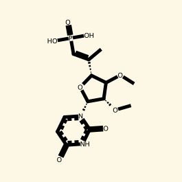 COC1[C@@H](/C(C)=C/P(=O)(O)O)O[C@@H](n2ccc(=O)[nH]c2=O)[C@H]1OC